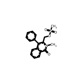 Cn1c(COS(C)(=O)=O)c(-c2ccccc2)c2ccccc2c1=O